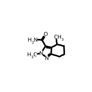 CC1CCCc2nn(C)c(C(N)=O)c21